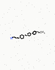 CCCc1ccc([C@H]2CC[C@H](C=C[C@H]3CC[C@H](C=CC=CC#N)CC3)CC2)cc1